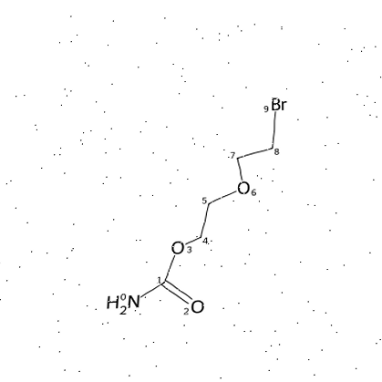 NC(=O)OCCOCCBr